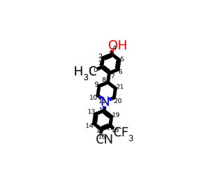 Cc1cc(O)ccc1C1CCN(c2ccc(C#N)c(C(F)(F)F)c2)CC1